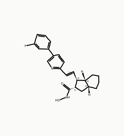 O=C(NO)[C@H]1C[C@H]2CCCC[C@H]2[C@@H]1/C=C/c1ccc(-c2cccc(F)c2)cn1